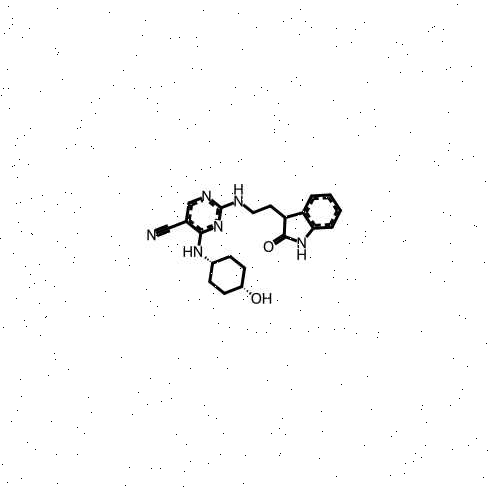 N#Cc1cnc(NCCC2C(=O)Nc3ccccc32)nc1N[C@H]1CC[C@@H](O)CC1